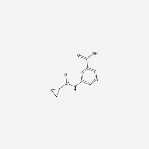 O=C(O)c1cncc(N[S+]([O-])C2CC2)c1